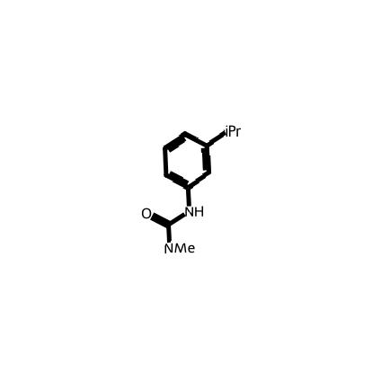 CNC(=O)Nc1cccc(C(C)C)c1